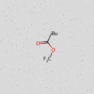 CCC(C)C(=O)OC(F)(F)F